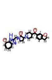 O=C(c1ccc2c(c1)OCC2)C1CCN(C2CCN(Cc3nc4ccccc(=O)c4[nH]3)C2=O)CC1